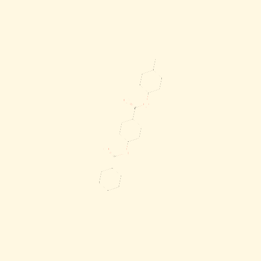 CC1CCC(OC(=O)C2CCC(OC(=O)[C@H]3CC[C@@H](C)CC3)CC2)CC1